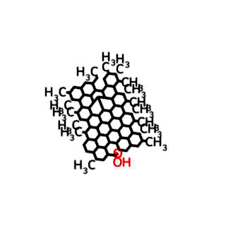 CCC1CC2CC(C)C(C)C3C2C2C1C1C4CC(C)C(C)C(C)C4C4C(C)C(C)C5C6C(C)C(C)C7C8C(C)C(C)CC9CCC%10C(C98)C8C7C6C6C7C5C4C1C1C2C2C3C(C)C(C)C3C4C(C)C5CCC9C(C)CC(C(=O)O)C%11C9C5C5C4C(C(C32)C71)C6C8C5C%10%11